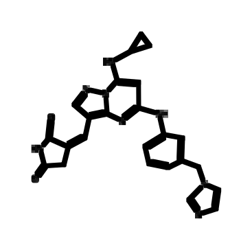 O=C1CC(=Cc2cnn3c(NC4CC4)cc(Nc4cccc(Cn5ccnc5)c4)nc23)C(=O)N1